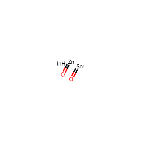 [InH3].[O]=[Sn].[O]=[Zn]